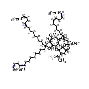 CCCCC/C=C\C/C=C\CCCCCCCCC1(CCCCCCCC/C=C\C/C=C\CCCCC)O[C@@H]2[C@H](O1)[C@@H](OC)CN(C)C[C@H]2OC1[C@H](N(C)C)C[C@H]2OC(CCCCCCCC/C=C\C/C=C\CCCCC)(CCCCCCCCCC)O[C@@H]12